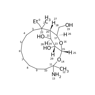 CCC1(C)CCCCCCCCC(C)(N)O[C@H]2O[C@H](CO)[C@@H]1[C@H](O)[C@H]2O